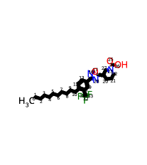 CCCCCCCCCCCc1ccc(-c2noc(C3CCCN(C(=O)O)C3)n2)cc1C(F)(F)F